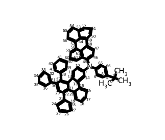 CC(C)(C)c1ccc(N(c2ccc3c(c2)c2ccccc2c2c(-c4ccccc4)cc(-c4ccccc4)c(-c4ccccc4)c32)c2ccc3c4cccc5cccc(c6cccc2c63)c54)cc1